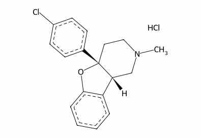 CN1CC[C@@]2(c3ccc(Cl)cc3)Oc3ccccc3[C@H]2C1.Cl